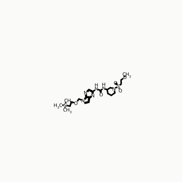 COCCS(=O)(=O)N1CCCC(NC(=O)Nc2cnc3c(ccn3COCC[Si](C)(C)C)n2)C1